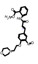 NOC(=O)c1ccccc1NC(=O)/C=C/c1ccc(OCCN2CCOCC2)c(N=O)c1